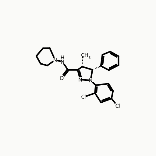 C[C@H]1C(C(=O)NN2CCCCC2)=NN(c2ccc(Cl)cc2Cl)[C@H]1c1ccccc1